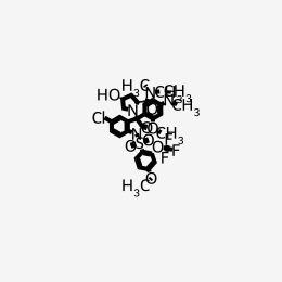 COc1ccc(S(=O)(=O)N2C(=O)C(c3ccc(N(C)C)cc3OC)(N3C[C@H](O)C[C@H]3C(=O)N(C)C)c3cc(Cl)ccc32)c(OC(F)(F)F)c1